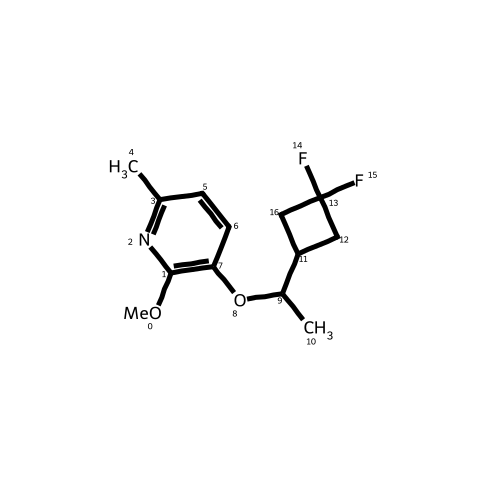 COc1nc(C)ccc1OC(C)C1CC(F)(F)C1